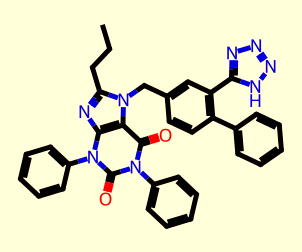 CCCc1nc2c(c(=O)n(-c3ccccc3)c(=O)n2-c2ccccc2)n1Cc1ccc(-c2ccccc2)c(-c2nnn[nH]2)c1